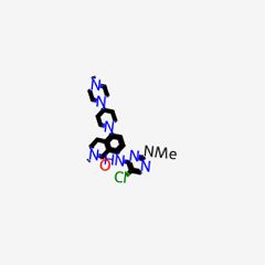 CNc1ncc(Cl)c(Nc2ccc(N3CCC(N4CCN(C)CC4)CC3)c3c2C(=O)N(C)CC3)n1